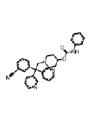 N#Cc1cccc(C(CN2CCC(OC(=O)Nc3ccccc3)CC2)(c2cccnc2)c2cccnc2)c1